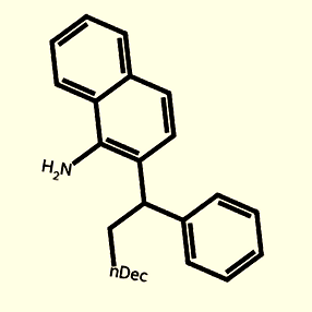 CCCCCCCCCCCC(c1ccccc1)c1ccc2ccccc2c1N